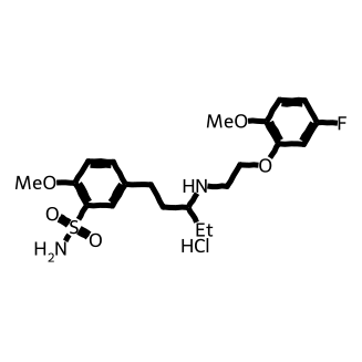 CCC(CCc1ccc(OC)c(S(N)(=O)=O)c1)NCCOc1cc(F)ccc1OC.Cl